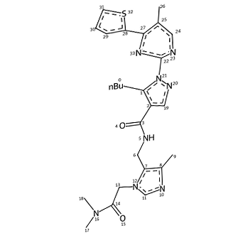 CCCCc1c(C(=O)NCc2c(C)ncn2CC(=O)N(C)C)cnn1-c1ncc(C)c(-c2cccs2)n1